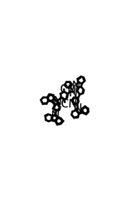 N#CC1=C(n2c3ccc(-n4c5c(c6ccccc64)CCC=C5)cc3c3c4c(ccc32)CCC=C4)CC(C#N)C(CN2c3ccc(-n4c5c(c6ccccc64)C=CCC5)cc3C3C=CC4C5C=CC=CC5N(C5=CCCC=C5)C4C32)=C1